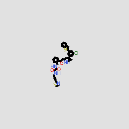 N=C(CC(=O)c1ccccc1CNC(=O)C(=O)NCC#Cc1nccs1)CC1(c2cc(Cl)cc(-c3cc4ccccc4s3)c2)CC1